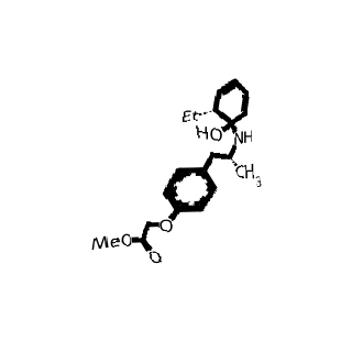 CC[C@@H]1C=CC=CC1(O)N[C@H](C)Cc1ccc(OCC(=O)OC)cc1